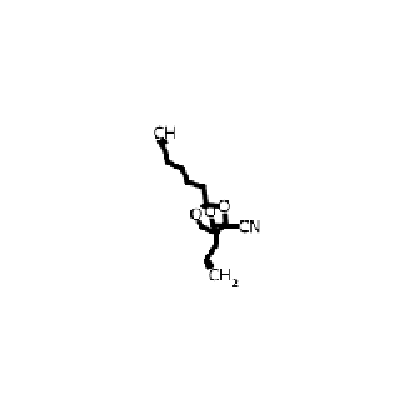 C#CCCCCC12OCC(CC=C)(CO1)C(C#N)O2